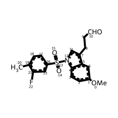 COc1ccc2c(c1)c(CCC=O)cn2S(=O)(=O)c1ccc(C)c(F)c1